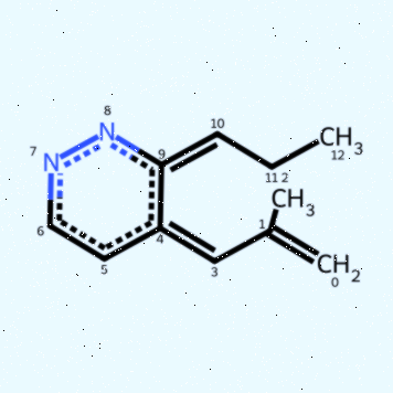 C=C(C)/C=c1/ccnn/c1=C/CC